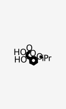 CC(C)Oc1cccc2c(O)c(O)c(=O)oc12